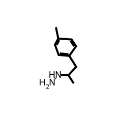 Cc1ccc(CC(C)NN)cc1